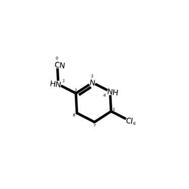 N#CNC1=NNC(Cl)CC1